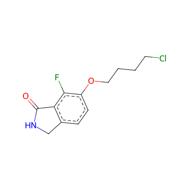 O=C1NCc2ccc(OCCCCCl)c(F)c21